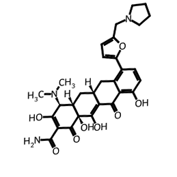 CN(C)[C@@H]1C(O)=C(C(N)=O)C(=O)[C@@]2(O)C(O)=C3C(=O)c4c(O)ccc(-c5ccc(CN6CCCC6)o5)c4C[C@H]3C[C@@H]12